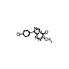 Cn1nnc2c(-c3ccc(Cl)cc3)ncn2c1=O